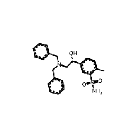 Cc1ccc([C@@H](O)CN(Cc2ccccc2)Cc2ccccc2)cc1S(N)(=O)=O